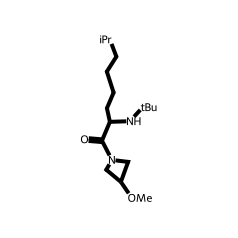 COC1CN(C(=O)C(CCCCC(C)C)NC(C)(C)C)C1